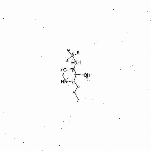 CCCC(NC)C(O)C(=O)NC(C)(C)C